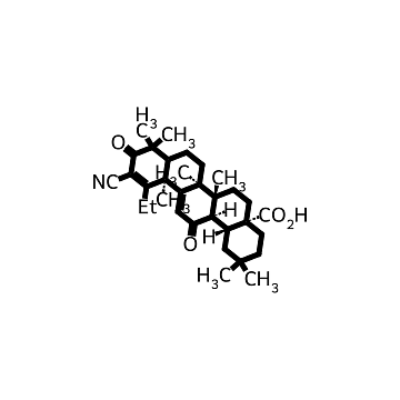 CCC1=C(C#N)C(=O)C(C)(C)C2CC[C@]3(C)C(=CC(=O)[C@@H]4[C@H]5CC(C)(C)CC[C@]5(C(=O)O)CC[C@]43C)[C@@]12C